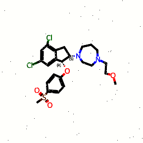 COCCN1CCCN([C@H]2Cc3c(Cl)cc(Cl)cc3[C@H]2Oc2ccc(S(C)(=O)=O)cc2)CC1